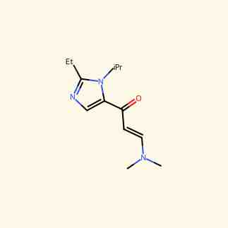 CCc1ncc(C(=O)C=CN(C)C)n1C(C)C